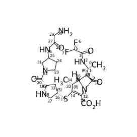 C[C@@H](NC(=O)C(F)F)[C@H]1C(=O)N2C(C(=O)O)=C(S[C@@H]3CN[C@H](C(=O)N4CCC(NC(=O)CN)C4)C3)[C@H](C)[C@H]12